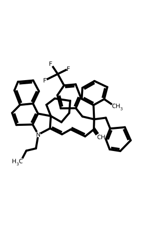 C=C(/C=C/C=C1/N(CCC)c2ccc3ccccc3c2C12CCCCC2)C(Cc1ccccc1)(Cc1ccc(C(F)(F)F)cc1)c1ccccc1C